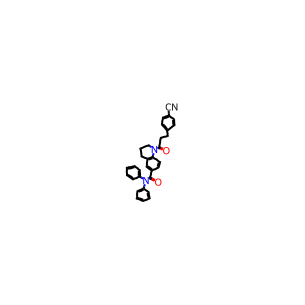 N#Cc1ccc(CCC(=O)N2CCCc3cc(C(=O)N(c4ccccc4)c4ccccc4)ccc32)cc1